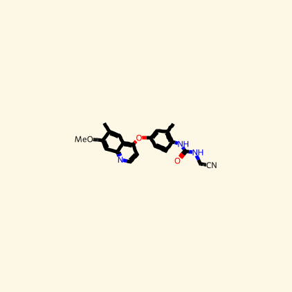 COc1cc2nccc(Oc3ccc(NC(=O)NCC#N)c(C)c3)c2cc1C